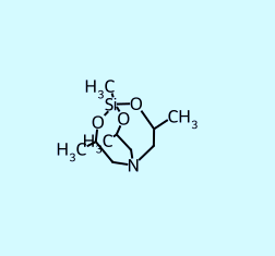 CC1CN2CC(C)O[Si](C)(O1)OC(C)C2